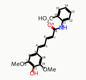 COc1cc(C=CC=CC(=O)Nc2ccccc2C(=O)O)cc(OC)c1O